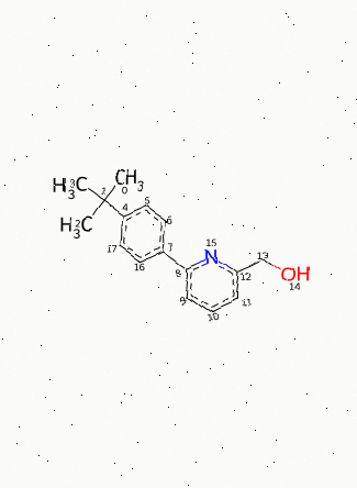 CC(C)(C)c1ccc(-c2cccc(CO)n2)cc1